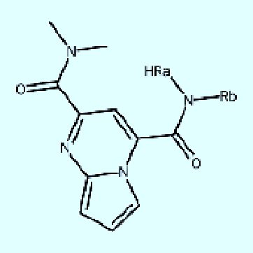 CN(C)C(=O)c1cc(C(=O)[N]([Rb])[RaH])n2cccc2n1